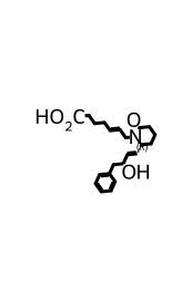 O=C(O)CCCC=CCN1C(=O)CCC[C@@H]1C=CC(O)Cc1ccccc1